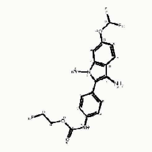 CCCn1c(-c2ccc(NC(=O)OCCF)cc2)c(N)c2ccc(OC(F)F)cc21